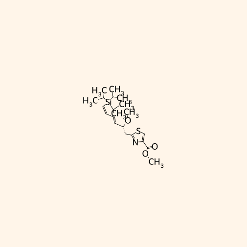 COC(=O)c1csc(C[C@H](/C=C/C=C\[Si](C(C)C)(C(C)C)C(C)C)OC)n1